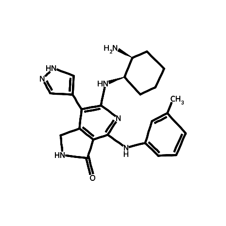 Cc1cccc(Nc2nc(N[C@@H]3CCCC[C@@H]3N)c(-c3cn[nH]c3)c3c2C(=O)NC3)c1